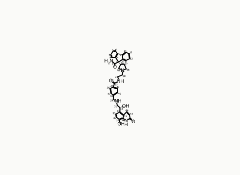 NC(=O)C(c1ccccc1)(c1ccccc1)[C@@H]1CCN(CCNC(=O)c2ccc(CNC[C@H](O)c3ccc(O)c4[nH]c(=O)ccc34)cc2)C1